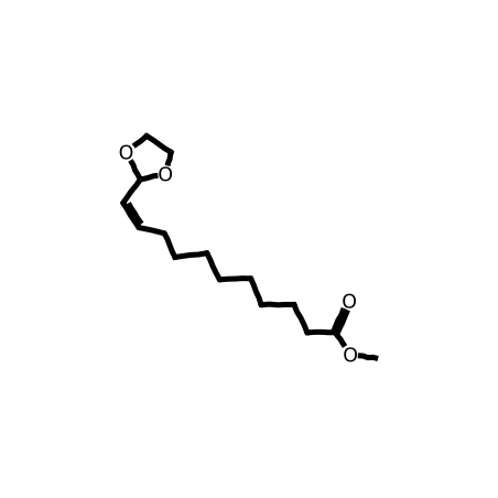 COC(=O)CCCCCCCC/C=C\C1OCCO1